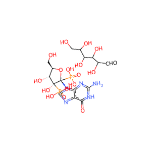 Nc1nc2c(ncn2[C@]2(P(=O)(O)O)O[C@H](CO)[C@@H](O)[C@]2(O)P(=O)(O)O)c(=O)[nH]1.O=CC(O)C(O)C(O)C(O)CO